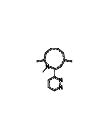 C=c1ccccc(=C)n(C)c(-c2cccnn2)c1